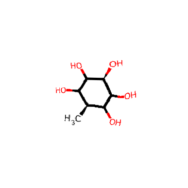 C[C@H]1C(O)C(O)[C@@H](O)C(O)C1O